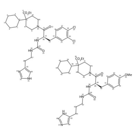 CCOC(=O)C1(C2CCCCC2)CCN(C(=O)[C@@H](Cc2ccc(Cl)c(Cl)c2)NC(=O)NCCc2c[nH]cn2)CC1.CCOC(=O)C1(C2CCCCC2)CCN(C(=O)[C@@H](Cc2ccc(OC)cc2)NC(=O)NCCCc2cnc[nH]2)CC1